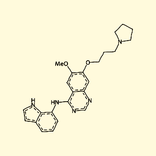 COc1cc2c(Nc3cccc4cc[nH]c34)ncnc2cc1OCCCN1CCCC1